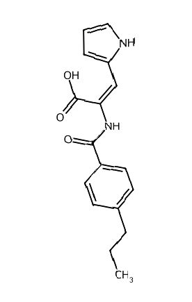 CCCc1ccc(C(=O)NC(=Cc2ccc[nH]2)C(=O)O)cc1